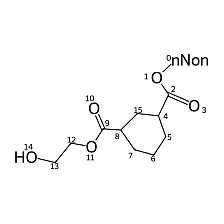 CCCCCCCCCOC(=O)C1CCCC(C(=O)OCCO)C1